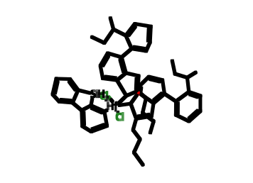 CCCCC1=Cc2c(-c3ccccc3C(C)CC)cccc2[CH]1[Hf]([Cl])([Cl])([c]1cccc2c1[SiH2]c1ccccc1-2)[CH]1C(CCCC)=Cc2c(-c3ccccc3C(C)CC)cccc21